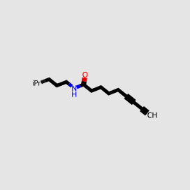 C#CC#CCCCCC(=O)NCCCC(C)C